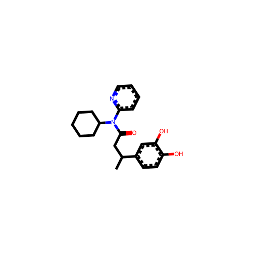 CC(CC(=O)N(c1ccccn1)C1CCCCC1)c1ccc(O)c(O)c1